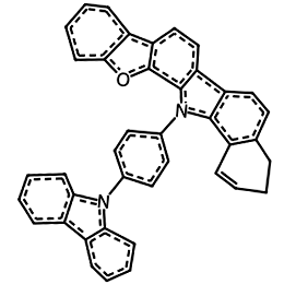 C1=Cc2c(ccc3c4ccc5c6ccccc6oc5c4n(-c4ccc(-n5c6ccccc6c6ccccc65)cc4)c23)CC1